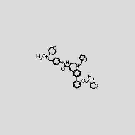 C1CCOC1.CCOc1ccccc1-c1ccc2c(c1)C=C(C(=O)Nc1ccc(CN(C)C3CCOCC3)cc1)CCN2Cc1ccco1